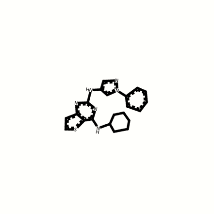 c1ccc(-n2cc(Nc3nc(NC4CCCCC4)c4sccc4n3)cn2)cc1